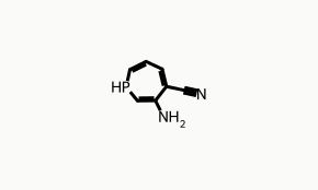 N#CC1=CC=CPC=C1N